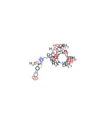 CC[C@H]1OC(=O)[C@H](C)C([C@H]2C[C@@](C)(OC)[C@@H](O)[C@H](C)O2)[C@H](C)[C@@H](O[C@H]2C[C@@H](N(C)CCc3cn([C@H](CF)[C@H](OC)c4ccc(N5CCC6(CC5)OCCO6)cc4)nn3)C[C@@H](C)O2)[C@](C)(O)C[C@@H](C)CN(C)[C@H](C)[C@@H](O)[C@]1(C)O